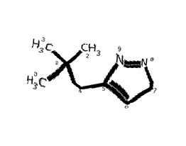 CC(C)(C)CC1=CCN=N1